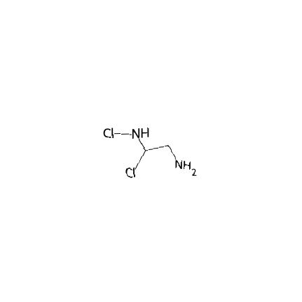 NCC(Cl)NCl